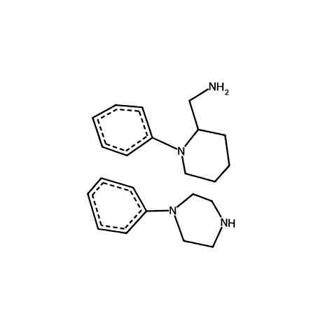 NCC1CCCCN1c1ccccc1.c1ccc(N2CCNCC2)cc1